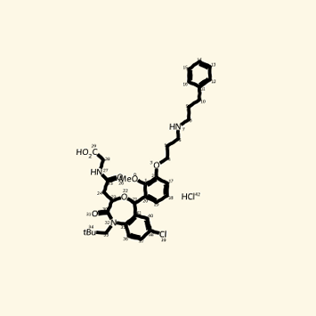 COc1c(OCCCNCCCc2ccccc2)cccc1C1OC(CC(=O)NCC(=O)O)C(=O)N(CC(C)(C)C)c2ccc(Cl)cc21.Cl